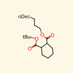 CCCCCCCCCCCCCOC(=O)C1CCCCC1C(=O)OC(C)(C)C